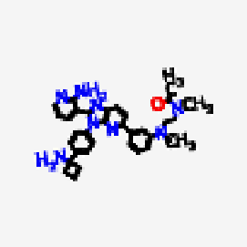 CC(=O)N(C)CCN(C)c1cccc(-c2ccc3nc(-c4cccnc4N)n(-c4ccc(C5(N)CCC5)cc4)c3n2)c1